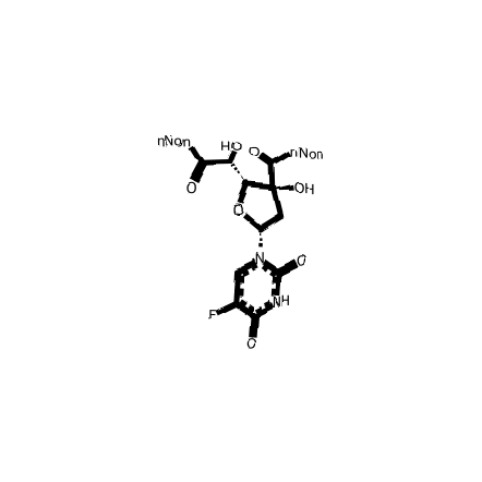 CCCCCCCCCC(=O)C(O)[C@H]1O[C@@H](n2cc(F)c(=O)[nH]c2=O)C[C@@]1(O)C(=O)CCCCCCCCC